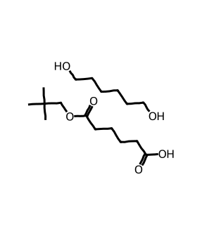 CC(C)(C)COC(=O)CCCCC(=O)O.OCCCCCCO